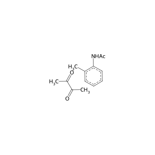 CC(=O)C(C)=O.CC(=O)Nc1ccccc1C